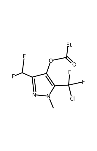 CCC(=O)Oc1c(C(F)F)nn(C)c1C(F)(F)Cl